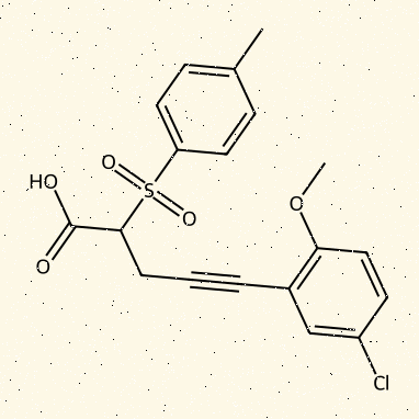 COc1ccc(Cl)cc1C#CCC(C(=O)O)S(=O)(=O)c1ccc(C)cc1